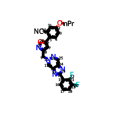 CCCOc1ccc(-c2cc(Cn3cc4nc(-c5cccc(F)c5F)nc-4cn3)no2)c(C#N)c1